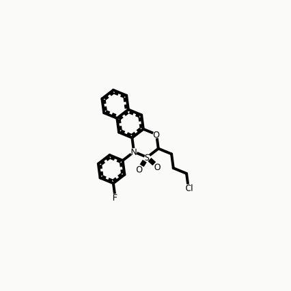 O=S1(=O)C(CCCCl)Oc2cc3ccccc3cc2N1c1cccc(F)c1